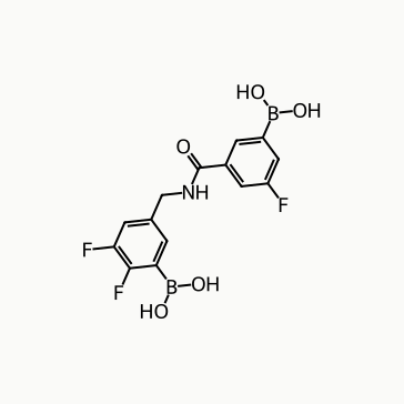 O=C(NCc1cc(F)c(F)c(B(O)O)c1)c1cc(F)cc(B(O)O)c1